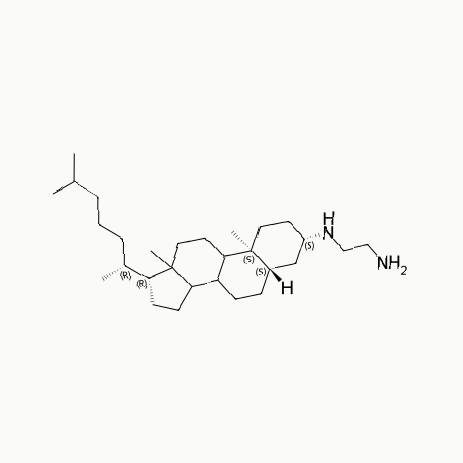 CC(C)CCC[C@@H](C)[C@H]1CCC2C3CC[C@H]4C[C@@H](NCCN)CC[C@]4(C)C3CCC21C